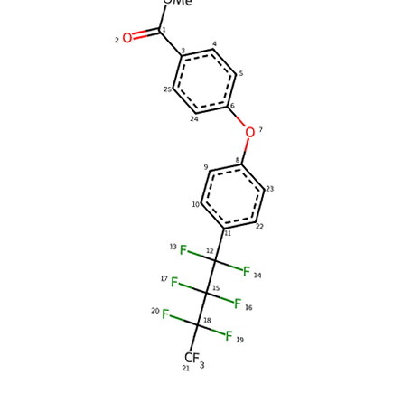 COC(=O)c1ccc(Oc2ccc(C(F)(F)C(F)(F)C(F)(F)C(F)(F)F)cc2)cc1